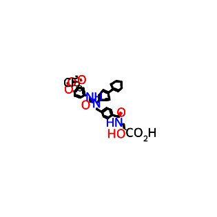 CS(=O)(=O)c1cc(NC(=O)N(Cc2ccc(C(=O)NC[C@@H](O)C(=O)O)cc2)c2ccc(C3=CCCCC3)cc2)ccc1OC(F)(F)F